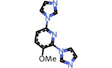 COc1ccc(-n2ccnc2)nc1-n1ccnc1